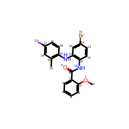 COc1ccccc1C(=O)Nc1ccc(Br)cc1Nc1ccc(I)cc1C